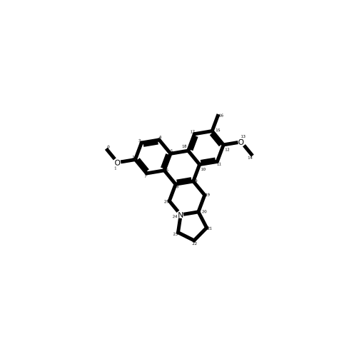 COc1ccc2c(c1)c1c(c3cc(OC)c(C)cc32)CC2CCCN2C1